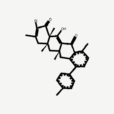 CC(=O)C1=C(C)C[C@@]2(C)C[C@@]3(C)Cc4c(-c5ccc(C)cc5)ccc(C)c4C(=O)C3=C(O)[C@@]2(C)C1=O